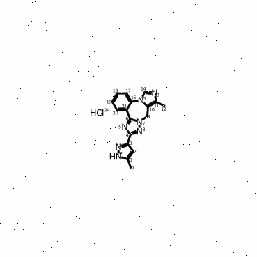 Cc1cc(-c2nc3n(n2)Cc2c(C)ncn2-c2ccccc2-3)n[nH]1.Cl